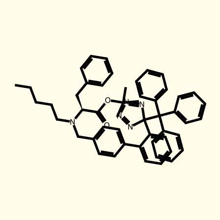 CCCCCN(Cc1ccc(-c2ccccc2C2(C(c3ccccc3)(c3ccccc3)c3ccccc3)N=NN=N2)cc1)[C@@H](Cc1ccccc1)C(=O)OC(C)(C)C